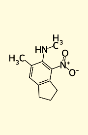 CNc1c(C)cc2c(c1[N+](=O)[O-])CCC2